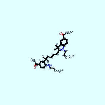 CNC(=O)c1ccc2c(c1)C(C)(C)/C(=C\C=C\CC(C)(C)c1cc(C(=O)N=O)ccc1NCCC(=O)O)N2CCC(=O)O